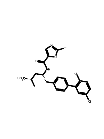 CCc1ncc(C(=O)N[C@H](Cc2ccc(-c3cc(Cl)ccc3Cl)cc2)C[C@H](C)C(=O)O)o1